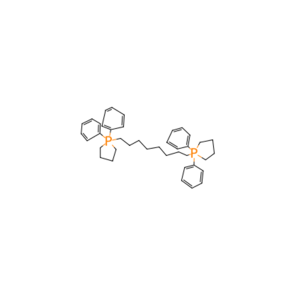 c1ccc(P2(CCCCCCCCP3(c4ccccc4)(c4ccccc4)CCCC3)(c3ccccc3)CCCC2)cc1